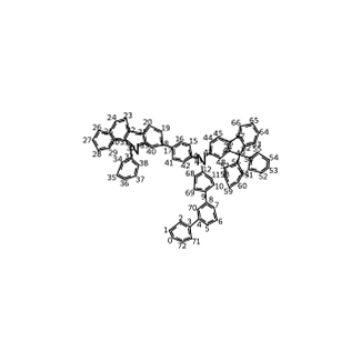 c1ccc(-c2cccc(-c3ccc(N(c4ccc(-c5ccc6c7ccc8ccccc8c7n(-c7ccccc7)c6c5)cc4)c4ccc5c(c4)C(c4ccccc4)(c4ccccc4)c4ccccc4-5)cc3)c2)cc1